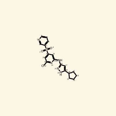 O=S(=O)(c1cccnc1)c1cc(Cl)nc(Nc2cc(C3CCCC3)[nH]n2)c1